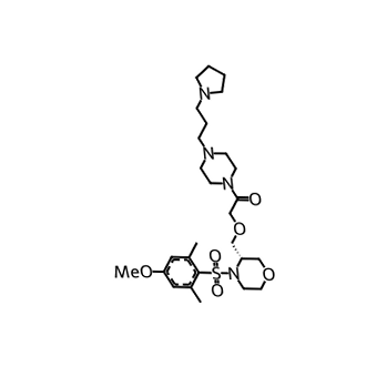 COc1cc(C)c(S(=O)(=O)N2CCOC[C@H]2COCC(=O)N2CCN(CCCN3CCCC3)CC2)c(C)c1